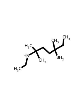 BC(C)(CC)CCC(C)(C)NCC